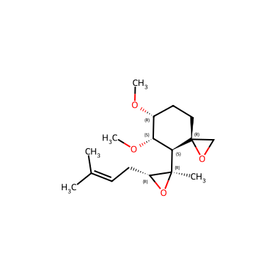 CO[C@@H]1[C@H](OC)CC[C@]2(CO2)[C@H]1[C@@]1(C)O[C@@H]1CC=C(C)C